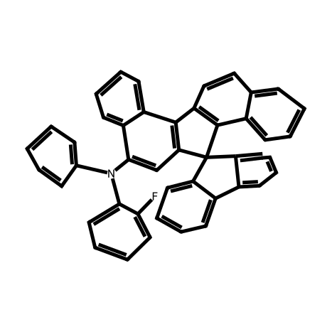 Fc1ccccc1N(c1ccccc1)c1cc2c(c3ccccc13)-c1ccc3ccccc3c1C21c2ccccc2-c2ccccc21